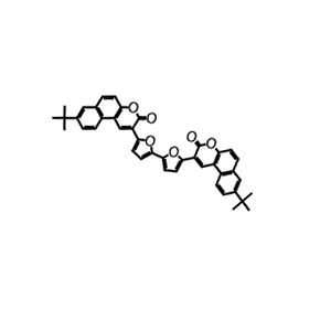 CC(C)(C)c1ccc2c(ccc3oc(=O)c(-c4ccc(-c5ccc(-c6cc7c(ccc8cc(C(C)(C)C)ccc87)oc6=O)o5)o4)cc32)c1